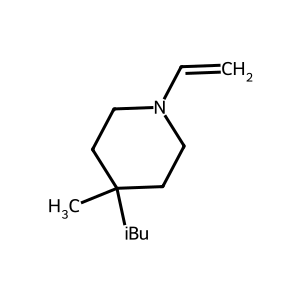 C=CN1CCC(C)(C(C)CC)CC1